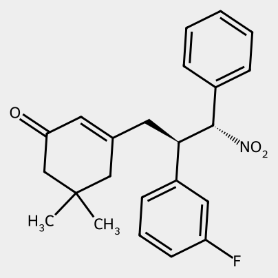 CC1(C)CC(=O)C=C(C[C@H](c2cccc(F)c2)[C@H](c2ccccc2)[N+](=O)[O-])C1